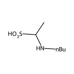 CCCCNC(C)S(=O)(=O)O